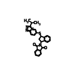 CC(C)c1nnc2ccc(SC3CC(N4C(=O)c5ccccc5C4=O)c4ccccc43)cn12